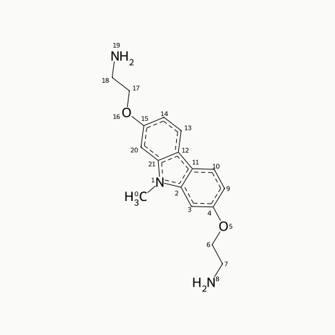 Cn1c2cc(OCCN)ccc2c2ccc(OCCN)cc21